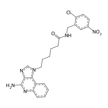 Nc1nc2ccccc2c2c1ncn2CCCCCC(=O)NCc1cc([N+](=O)[O-])ccc1Cl